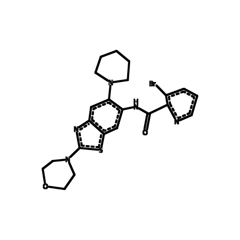 O=C(Nc1cc2sc(N3CCOCC3)nc2cc1N1CCCCC1)c1ncccc1Br